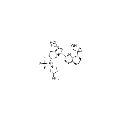 Cl.Cl.NC1CCN([C@H](c2ccc3nnc(-c4ccc5cccc(C6(CO)CC6)c5n4)n3c2)C(F)(F)F)C1